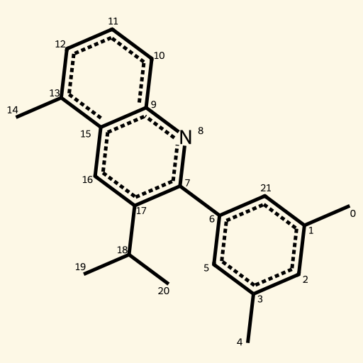 Cc1cc(C)cc(-c2nc3cccc(C)c3cc2C(C)C)c1